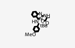 COc1ccc(CNc2nc(N[C@@H](C)C(=O)OC(C)(C)C)nc3ccccc23)cc1